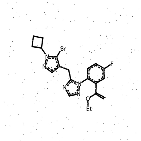 C=C(OCC)c1cc(F)ccc1-n1ncnc1Cc1cnn(C2CCC2)c1Br